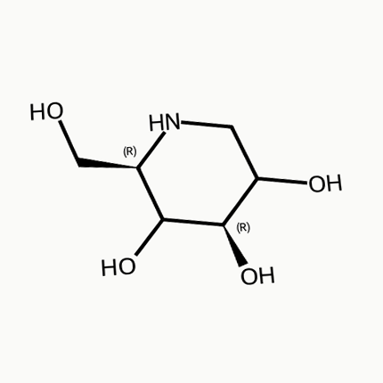 OC[C@H]1NCC(O)[C@@H](O)C1O